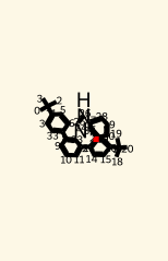 CC(C)(C)c1ccc(-c2cccc(-c3ccc(C(C)(C)C)cc3)c2-[n+]2c[nH]c3ccccc32)cc1